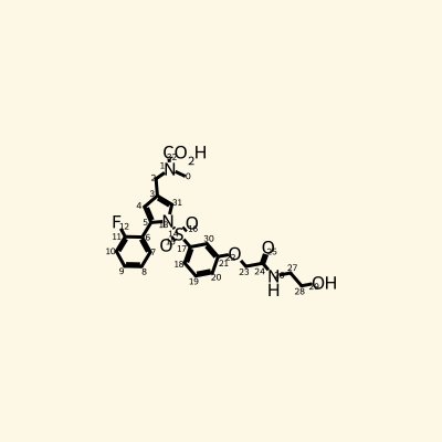 CN(Cc1cc(-c2ccccc2F)n(S(=O)(=O)c2cccc(OCC(=O)NCCO)c2)c1)C(=O)O